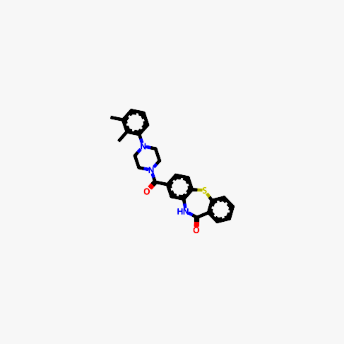 Cc1cccc(N2CCN(C(=O)c3ccc4c(c3)NC(=O)c3ccccc3S4)CC2)c1C